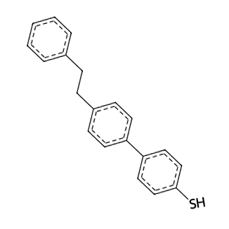 Sc1ccc(-c2ccc(CCc3ccccc3)cc2)cc1